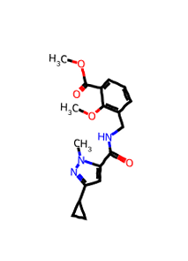 COC(=O)c1cccc(CNC(=O)c2cc(C3CC3)nn2C)c1OC